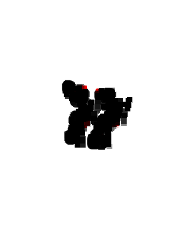 CC(C)C[C@H](NC(=O)c1cc2ccccc2s1)C(=O)NCC(=O)CNC(=O)Cc1cccc(-c2ccccn2)c1.COc1ccc(C(=O)N[C@@H](CC(C)C)C(=O)NCC(=O)CNC(=O)Cc2cccc(-c3ccccn3)c2)cc1OC